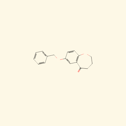 O=C1CCCOc2ccc(OCc3ccccc3)cc21